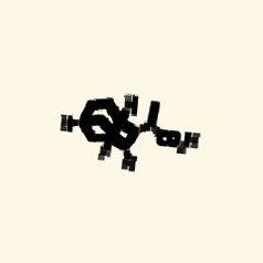 C[C@H](C(=O)O)[C@H]1[C@H]2CC[C@H]3C[C@@H]1[C@]2(F)C3